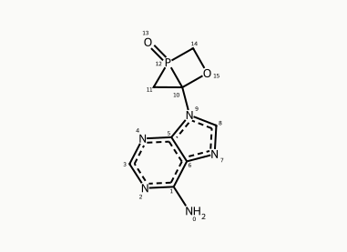 Nc1ncnc2c1ncn2C12CP1(=O)CO2